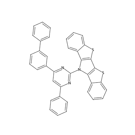 c1ccc(-c2cccc(-c3cc(-c4ccccc4)nc(-n4c5c6ccccc6sc5c5sc6ccccc6c54)n3)c2)cc1